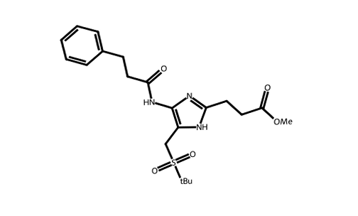 COC(=O)CCc1nc(NC(=O)CCc2ccccc2)c(CS(=O)(=O)C(C)(C)C)[nH]1